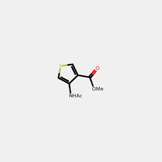 COC(=O)c1cscc1NC(C)=O